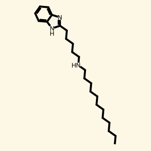 CCCCCCCCCCCCNCCCCCc1nc2ccccc2[nH]1